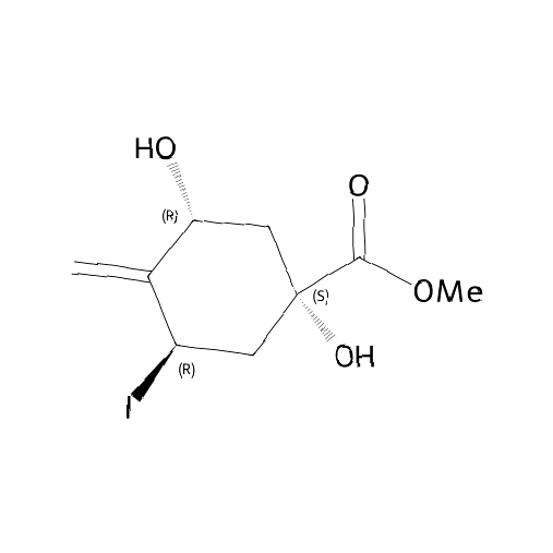 C=C1[C@H](O)C[C@@](O)(C(=O)OC)C[C@H]1I